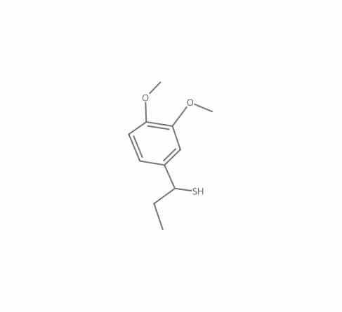 CCC(S)c1ccc(OC)c(OC)c1